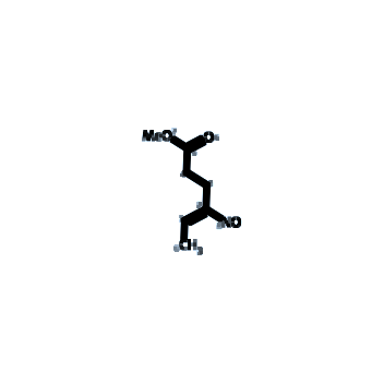 CC=C(CCC(=O)OC)N=O